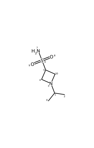 CC(C)N1CC(S(N)(=O)=O)C1